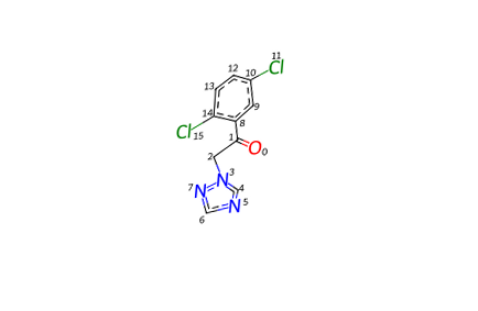 O=C(Cn1cncn1)c1cc(Cl)ccc1Cl